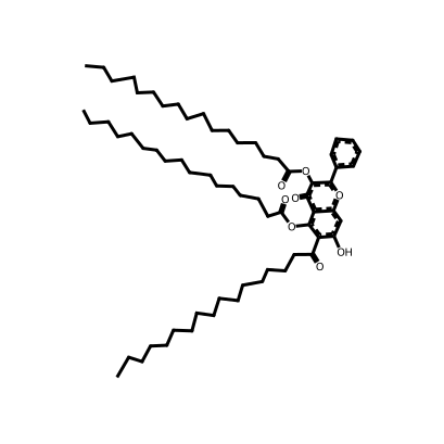 CCCCCCCCCCCCCCCCC(=O)Oc1c(-c2ccccc2)oc2cc(O)c(C(=O)CCCCCCCCCCCCCCCC)c(OC(=O)CCCCCCCCCCCCCCCC)c2c1=O